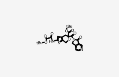 CC(C)(C)OC(=O)C(=O)Nc1cc2c(s1)COC(C(=O)OC(C)(C)C)(C(=O)N1Cc3ccncc3C1=O)C2